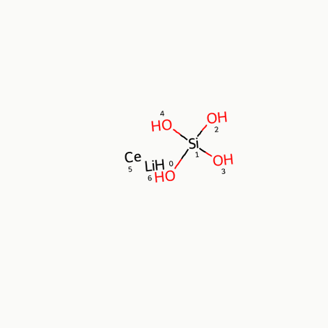 O[Si](O)(O)O.[Ce].[LiH]